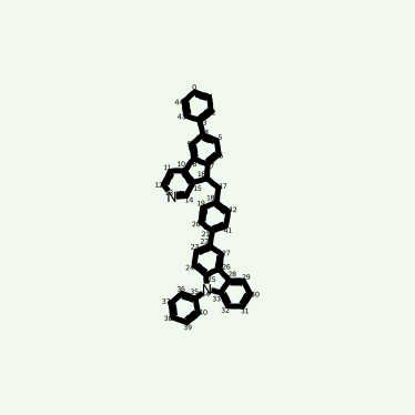 c1ccc(-c2ccc3c(c2)-c2ccncc2C3Cc2ccc(-c3ccc4c(c3)c3ccccc3n4-c3ccccc3)cc2)cc1